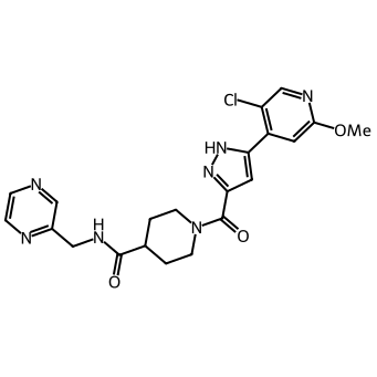 COc1cc(-c2cc(C(=O)N3CCC(C(=O)NCc4cnccn4)CC3)n[nH]2)c(Cl)cn1